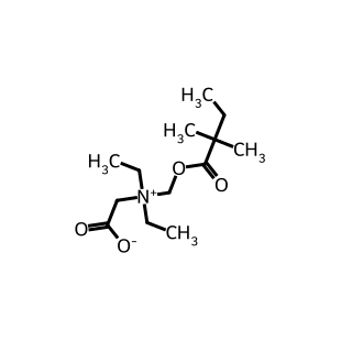 CCC(C)(C)C(=O)OC[N+](CC)(CC)CC(=O)[O-]